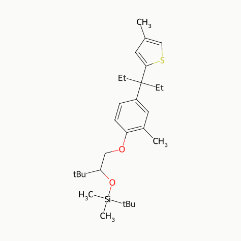 CCC(CC)(c1ccc(OCC(O[Si](C)(C)C(C)(C)C)C(C)(C)C)c(C)c1)c1cc(C)cs1